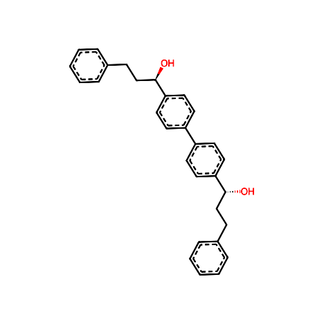 O[C@H](CCc1ccccc1)c1ccc(-c2ccc([C@H](O)CCc3ccccc3)cc2)cc1